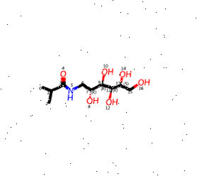 CC(C)C(=O)NC[C@@H](O)[C@@H](O)[C@H](O)[C@@H](O)CO